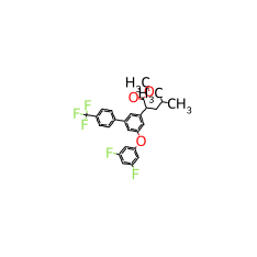 COC(=O)C(CC(C)C)c1cc(Oc2cc(F)cc(F)c2)cc(-c2ccc(C(F)(F)F)cc2)c1